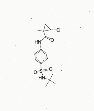 CC(C)(C)NS(=O)(=O)c1ccc(NC(=O)C2(C)CC2Cl)cc1